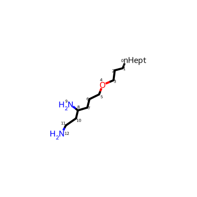 CCCCCCCCCCOCCCC(N)CCN